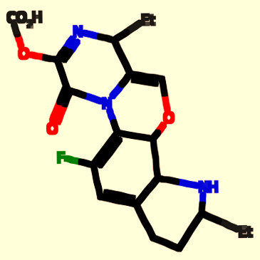 CCC1CCC2=CC(F)=C3C(OC=C4C(CC)N=C(OC(=O)O)C(=O)N43)C2N1